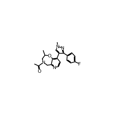 CC(=O)N1Cc2nccc(-c3cn(C)nc3-c3ccc(F)cc3)c2OC(C)C1